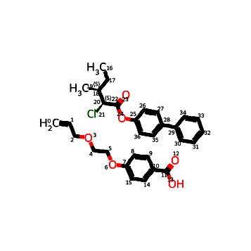 C=CCOCCOc1ccc(C(=O)O)cc1.CC[C@H](C)[C@H](Cl)C(=O)Oc1ccc(-c2ccccc2)cc1